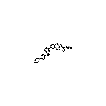 CC(C)(C)OC(=O)N1CC(Oc2ccc(-c3ccnc(Nc4ccc(N5CCOCC5)cc4)n3)cc2C#N)C1